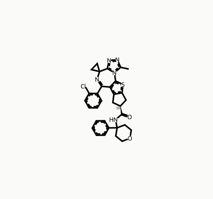 Cc1nnc2n1-c1sc3c(c1C(c1ccccc1Cl)=NC21CC1)C[C@H](C(=O)NC1(c2ccccc2)CCOCC1)C3